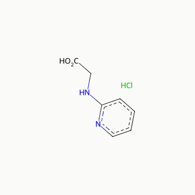 Cl.O=C(O)CNc1ccccn1